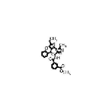 CCc1cc(C(=O)c2ccccc2Cl)c(-n2c(C)nnc2CNC(=O)c2cccc(C(=O)OC)c2)s1